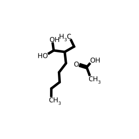 CC(=O)O.CCCCCC(CC)C(O)O